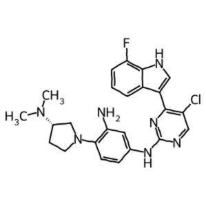 CN(C)[C@H]1CCN(c2ccc(Nc3ncc(Cl)c(-c4c[nH]c5c(F)cccc45)n3)cc2N)C1